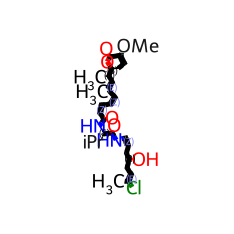 COC1=CC[C@@H]([C@@H](C)/C=C(C)/C=C\C=C/C(=O)N[C@H](C(=O)N/C=C\C[C@@H](O)C/C=C(\C)Cl)C(C)C)OC1=O